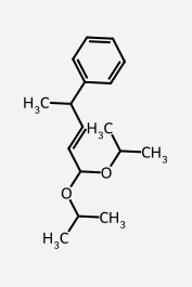 CC(C)OC(C=CC(C)c1ccccc1)OC(C)C